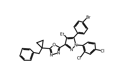 CCc1c(-c2nnc(C3(Cc4ccccc4)CC3)o2)nn(-c2ccc(Cl)cc2Cl)c1-c1ccc(Br)cc1